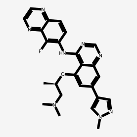 C[C@H](CN(C)C)Oc1cc(-c2cnn(C)c2)cc2ncnc(Nc3ccc4nccnc4c3F)c12